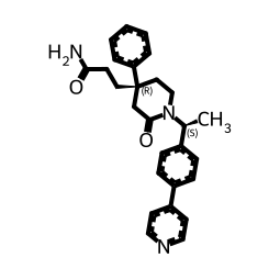 C[C@@H](c1ccc(-c2ccncc2)cc1)N1CC[C@@](CCC(N)=O)(c2ccccc2)CC1=O